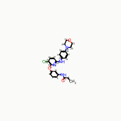 C=CC(=O)Nc1cccc(Oc2nc(Nc3ccc(N4CCOCC4)cc3)ccc2Cl)c1